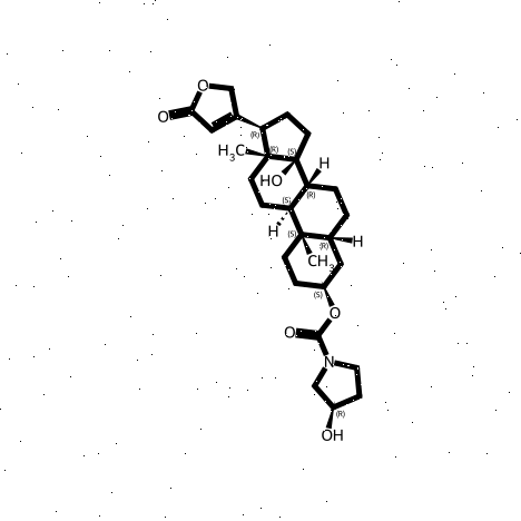 C[C@]12CC[C@H](OC(=O)N3CC[C@@H](O)C3)C[C@H]1CC[C@@H]1[C@@H]2CC[C@]2(C)[C@@H](C3=CC(=O)OC3)CC[C@]12O